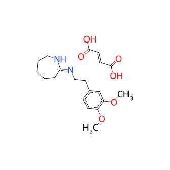 COc1ccc(CCN=C2CCCCCN2)cc1OC.O=C(O)/C=C/C(=O)O